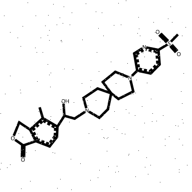 Cc1c(C(O)CN2CCC3(CC2)CCN(c2ccc(S(C)(=O)=O)nc2)CC3)ccc2c1COC2=O